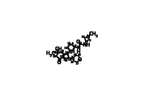 CN1CC(NC(=O)Nc2cccc(-c3c(N4CCOCC4)sc4c3CC(C)(C)CC4=O)c2)C1